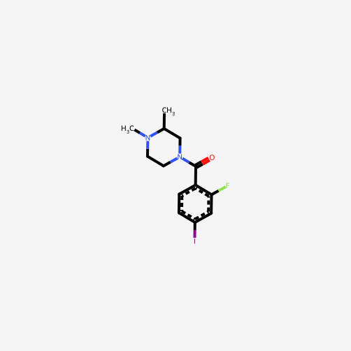 CC1CN(C(=O)c2ccc(I)cc2F)CCN1C